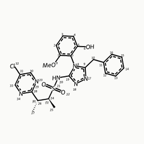 COc1cccc(O)c1-n1c(Cc2ccccc2)nnc1NS(=O)(=O)[C@@H](C)[C@H](C)c1ncc(Cl)cn1